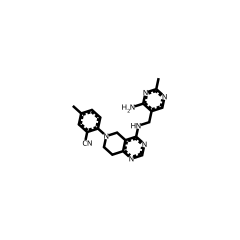 Cc1ccc(N2CCc3ncnc(NCc4cnc(C)nc4N)c3C2)c(C#N)c1